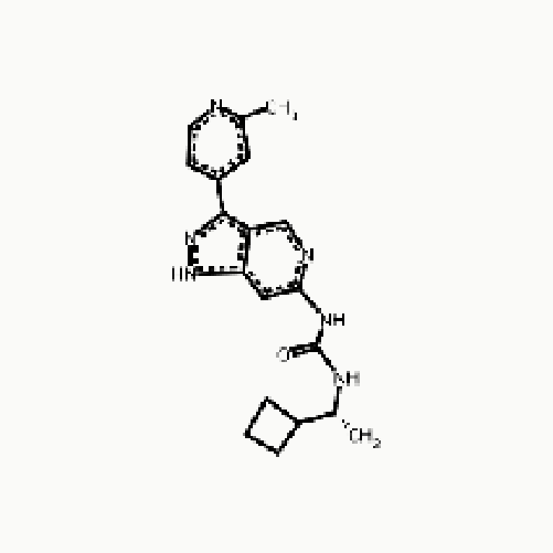 Cc1cc(-c2n[nH]c3cc(NC(=O)N[C@H](C)C4CCC4)ncc23)ccn1